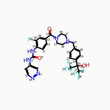 O=C(Nc1ccnnc1)Nc1ccc(C(=O)N2CCN(Cc3ccc(C(O)(C(F)(F)F)C(F)(F)F)cc3)CC2)cc1F